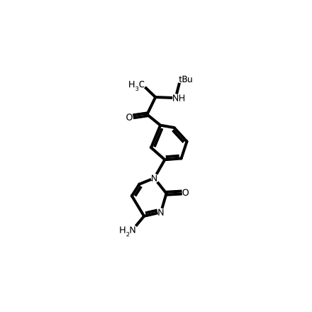 CC(NC(C)(C)C)C(=O)c1cccc(-n2ccc(N)nc2=O)c1